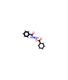 O=C(NNOC(=O)C1CCCCC1)c1ccccc1